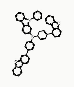 C1=CC(N(c2ccc(-c3ccc4c(c3)sc3ccccc34)cc2)c2ccc3c4ccccc4n(-c4ccccc4)c3c2)CC=C1c1cccc2oc3ccccc3c12